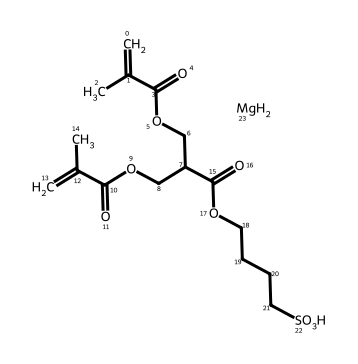 C=C(C)C(=O)OCC(COC(=O)C(=C)C)C(=O)OCCCCS(=O)(=O)O.[MgH2]